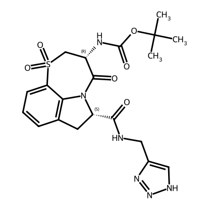 CC(C)(C)OC(=O)N[C@H]1CS(=O)(=O)c2cccc3c2N(C1=O)[C@H](C(=O)NCc1c[nH]nn1)C3